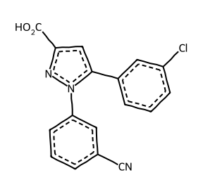 N#Cc1cccc(-n2nc(C(=O)O)cc2-c2cccc(Cl)c2)c1